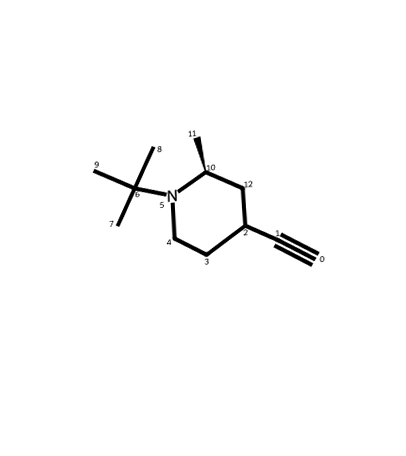 C#CC1CCN(C(C)(C)C)[C@@H](C)C1